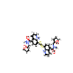 CN(CC1CCCO1)C(=O)c1ccc(SSc2ccc(C(=O)N(C)CC3CCCO3)c3cccnc23)c2ncccc12